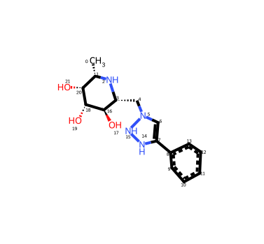 C[C@@H]1N[C@H](CN2C=C(c3ccccc3)NN2)[C@@H](O)[C@H](O)[C@@H]1O